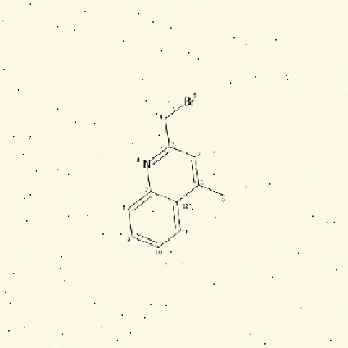 Cc1cc(CBr)nc2ccccc12